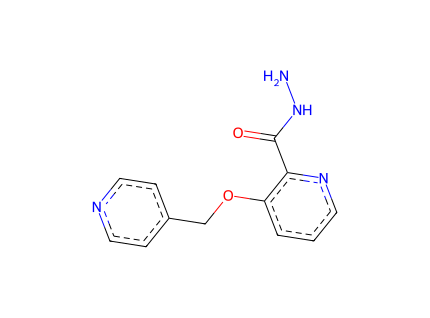 NNC(=O)c1ncccc1OCc1ccncc1